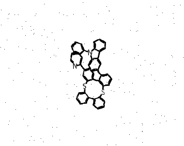 c1ccc(-n2c3ccccc3c3cc(-c4cccc5c4-c4ccc(-c6ccccn6)cc4Sc4ccccc4-c4ccccc4S5)ccc32)cc1